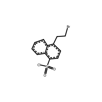 O=S(=O)(Cl)c1ccc(CCBr)c2ccccc12